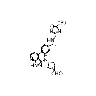 C[C@@H](NCc1noc(C(C)(C)C)n1)c1ccc(-c2ccnc3[nH]nc(N[C@@H]4CCN(C=O)C4)c23)cc1